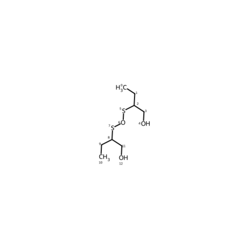 CCC(CO)SOSC(CC)CO